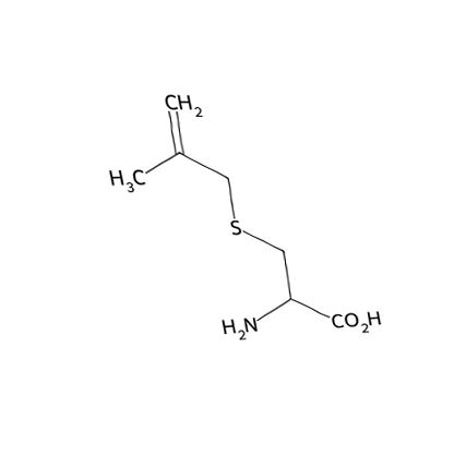 C=C(C)CSCC(N)C(=O)O